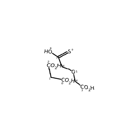 O=C(O)CC(=O)O.O=C(O)COCC(O)=S